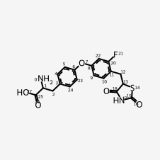 NC(Cc1ccc(Oc2ccc(CC3SC(=O)NC3=O)c(F)c2)cc1)C(=O)O